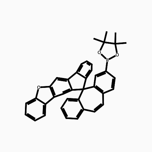 CC1(C)OB(c2ccc3c(c2)C2(c4ccccc4C=C3)c3ccccc3-c3cc4oc5ccccc5c4cc32)OC1(C)C